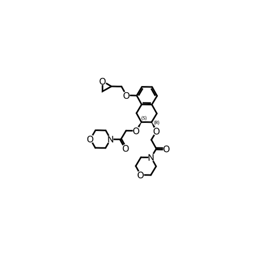 O=C(CO[C@H]1Cc2c(cccc2OCC2CO2)C[C@H]1OCC(=O)N1CCOCC1)N1CCOCC1